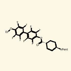 CCCCC[C@H]1CC[C@H](C(=O)Oc2c(F)c(F)c(-c3c(F)c(F)c(OCC)c(F)c3F)c(F)c2F)CC1